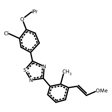 CO/C=C/c1cccc(-c2nsc(-c3ccc(OC(C)C)c(Cl)c3)n2)c1C